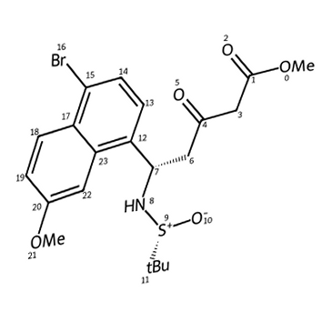 COC(=O)CC(=O)C[C@H](N[S@+]([O-])C(C)(C)C)c1ccc(Br)c2ccc(OC)cc12